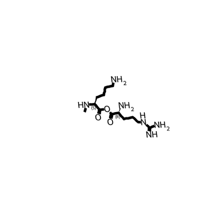 CN[C@@H](CCCCN)C(=O)OC(=O)[C@H](N)CCCNC(=N)N